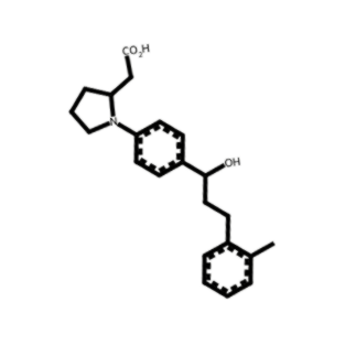 Cc1ccccc1CCC(O)c1ccc(N2CCCC2CC(=O)O)cc1